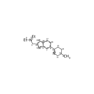 CCN(CC)Cc1nc2cc(C3=NCC(C)CC3)ccc2s1